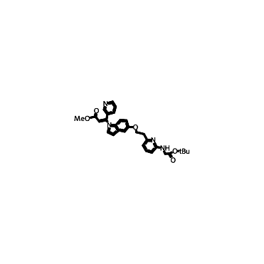 COC(=O)C=C(c1cccnc1)n1ccc2cc(OCCc3cccc(NCC(=O)OC(C)(C)C)n3)ccc21